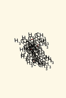 Cc1cc2c3c(c1)N(c1ccc4c(c1)C(C)(C)CCC4(C)C)c1oc4c(c1B3c1cc3c(cc1N2c1cc2c(cc1-c1ccccc1)C(C)(C)CCC2(C)C)C1(C)CCC3(CCC(C)(C)c2cc3c5c(c2)N(c2cc6c(cc2C)C(C)(C)CCC6(C)C)c2oc6c(c2B5c2cc5c(cc2N3c2cc3c(cc2C)C(C)(C)CCC3(C)C)C(C)(C)CCC5(C)C)C(C)(C)CCC6(C)C)CC1)C(C)(C)CCC4(C)C